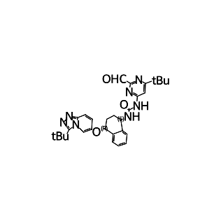 CC(C)(C)c1cc(NC(=O)N[C@H]2CC[C@@H](Oc3ccc4nnc(C(C)(C)C)n4c3)c3ccccc32)nc(C=O)n1